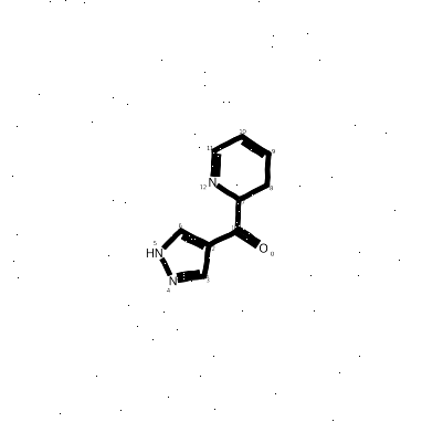 O=C(c1[c]n[nH]c1)C1CC=CC=N1